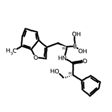 Cc1cccc2c(C[C@H](NC(=O)[C@@H](CO)c3ccccc3)B(O)O)coc12